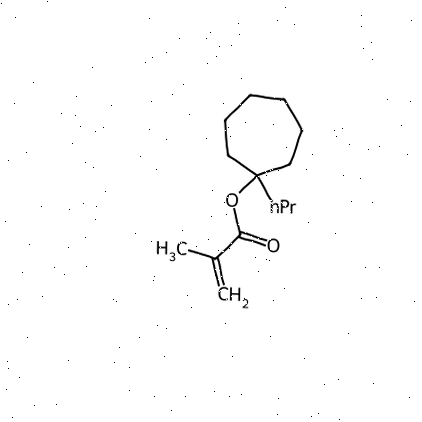 C=C(C)C(=O)OC1(CCC)CCCCCC1